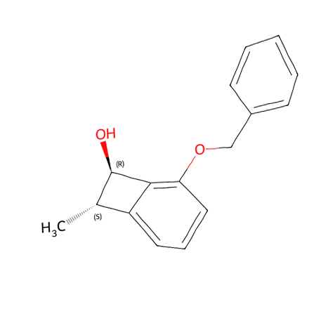 C[C@H]1c2cccc(OCc3ccccc3)c2[C@@H]1O